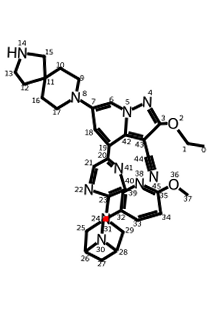 CCOc1nn2cc(N3CCC4(CCNC4)CC3)cc(-c3cnc(N4CC5CC(C4)N5Cc4ccc(OC)nc4)cn3)c2c1C#N